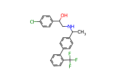 CC(NCC(O)c1ccc(Cl)cc1)c1ccc(-c2ccccc2C(F)(F)F)cc1